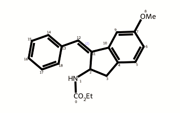 CCOC(=O)NC1Cc2ccc(OC)cc2/C1=C/c1ccccc1